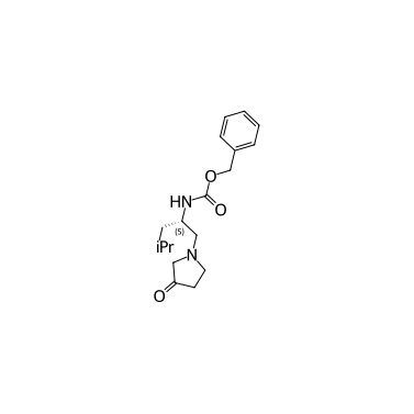 CC(C)C[C@@H](CN1CCC(=O)C1)NC(=O)OCc1ccccc1